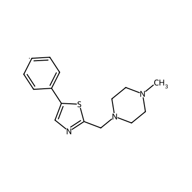 CN1CCN(Cc2ncc(-c3cc[c]cc3)s2)CC1